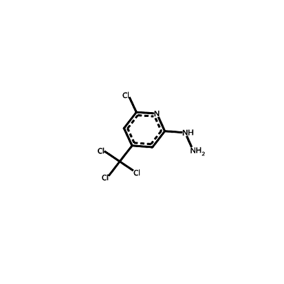 NNc1cc(C(Cl)(Cl)Cl)cc(Cl)n1